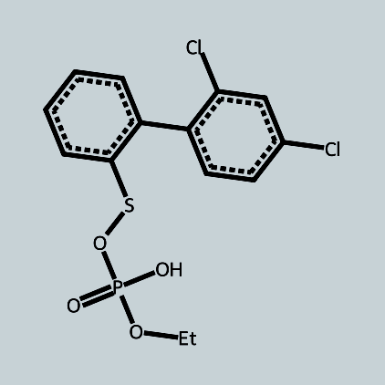 CCOP(=O)(O)OSc1ccccc1-c1ccc(Cl)cc1Cl